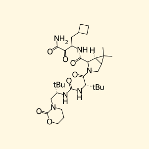 CC(C)(C)[C@H](NC(=O)N[C@H](CN1CCCOC1=O)C(C)(C)C)C(=O)N1CC2[C@@H](C1C(=O)NC(CC1CCC1)C(=O)C(N)=O)C2(C)C